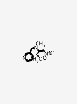 CSC(=C[N+](=O)[O-])N(C)Cc1cccnc1